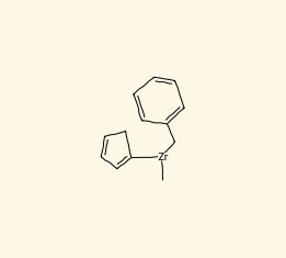 [CH3][Zr]([CH2]c1ccccc1)[C]1=CC=CC1